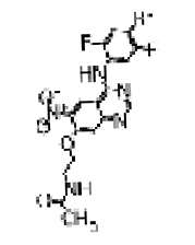 CC(=O)NCCOc1cc2ncnc(Nc3cc(F)c(Br)cc3F)c2cc1[N+](=O)[O-]